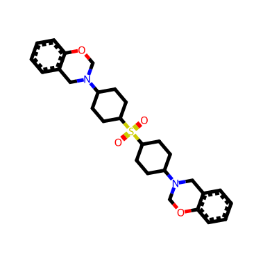 O=S(=O)(C1CCC(N2COc3ccccc3C2)CC1)C1CCC(N2COc3ccccc3C2)CC1